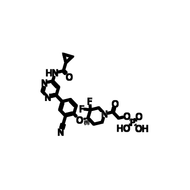 N#Cc1cc(-c2cc(NC(=O)C3CC3)ncn2)ccc1O[C@H]1CCN(C(=O)COP(=O)(O)O)CC1(F)F